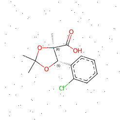 CC1(C)O[C@@H](c2ccccc2Cl)[C@](C)(C(=O)O)O1